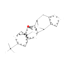 O=S(=O)(c1ccc(C(F)(F)F)nc1)N1C2Cc3n[nH]cc3C1c1ncc(F)cc12